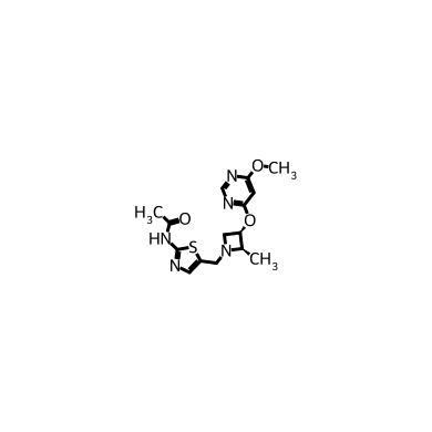 COc1cc(O[C@@H]2CN(Cc3cnc(NC(C)=O)s3)[C@@H]2C)ncn1